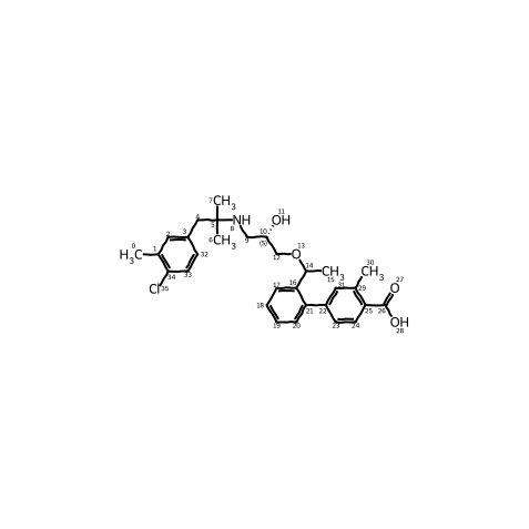 Cc1cc(CC(C)(C)NC[C@H](O)COC(C)c2ccccc2-c2ccc(C(=O)O)c(C)c2)ccc1Cl